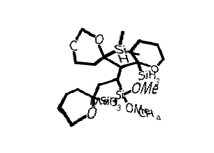 C.CO[Si](OC)(OC)C(CC1([SiH3])CCCCO1)C(C1([SiH3])CCCCO1)C1([SiH](C)C)CCCCO1